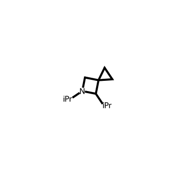 CC(C)C1N(C(C)C)CC12CC2